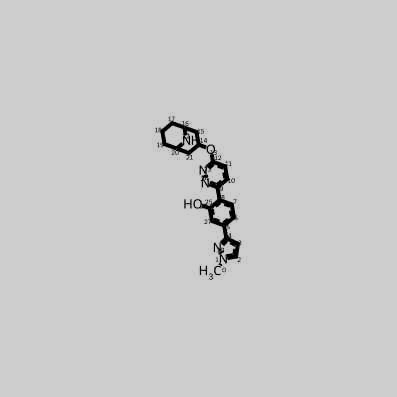 Cn1ccc(-c2ccc(-c3ccc(OC4CC5CCCC(C4)N5)nn3)c(O)c2)n1